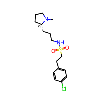 CN1CCC[C@H]1CCCNS(=O)(=O)CCc1ccc(Cl)cc1